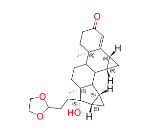 C[C@]12CCC(=O)C=C1[C@@H]1C[C@@H]1C1C2CC[C@@]2(C)C1[C@@H]1C[C@@H]1[C@@]2(O)CCC1OCCO1